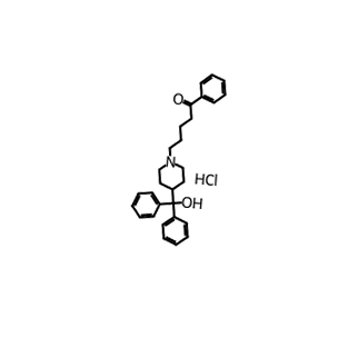 Cl.O=C(CCCCN1CCC(C(O)(c2ccccc2)c2ccccc2)CC1)c1ccccc1